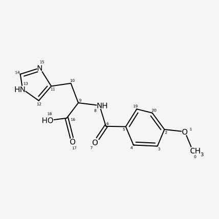 COc1ccc(C(=O)NC(Cc2c[nH]cn2)C(=O)O)cc1